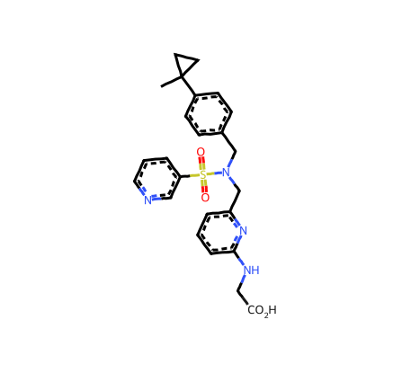 CC1(c2ccc(CN(Cc3cccc(NCC(=O)O)n3)S(=O)(=O)c3cccnc3)cc2)CC1